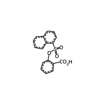 O=C(O)c1ccccc1OS(=O)(=O)c1cccc2ccccc12